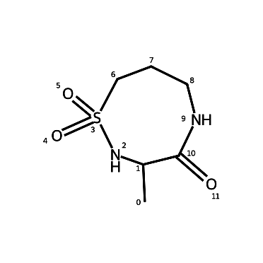 CC1NS(=O)(=O)CCCNC1=O